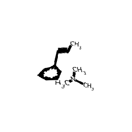 CC=Cc1ccccc1.CN(C)C